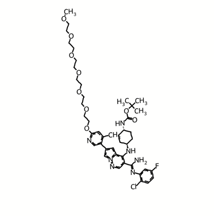 COCCOCCOCCOCCOCCOCCOc1cc(C)c(-c2cc3c(N[C@H]4CC[C@H](NC(=O)OC(C)(C)C)CC4)c(C(N)=Nc4cc(F)ccc4Cl)cnn3c2)cn1